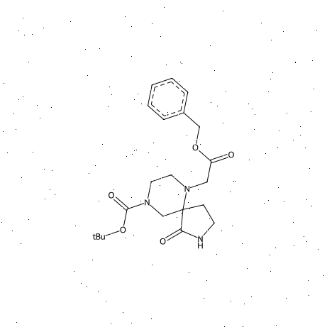 CC(C)(C)OC(=O)N1CCN(CC(=O)OCc2ccccc2)C2(CCNC2=O)C1